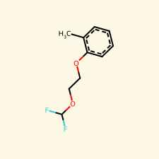 Cc1ccccc1OCCOC(F)F